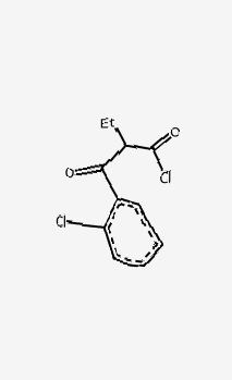 CCC(C(=O)Cl)C(=O)c1ccccc1Cl